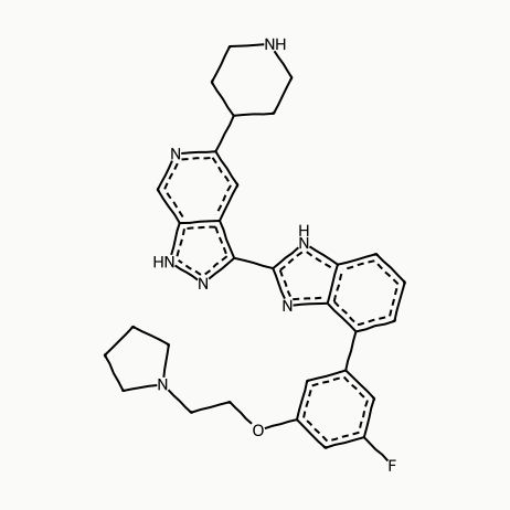 Fc1cc(OCCN2CCCC2)cc(-c2cccc3[nH]c(-c4n[nH]c5cnc(C6CCNCC6)cc45)nc23)c1